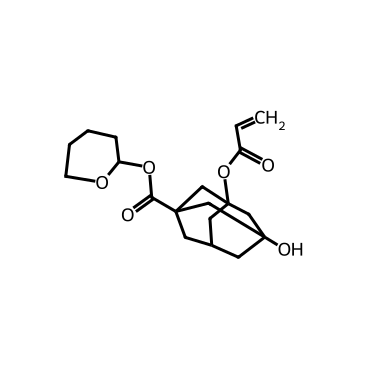 C=CC(=O)OC12CC3CC(O)(C1)CC(C(=O)OC1CCCCO1)(C3)C2